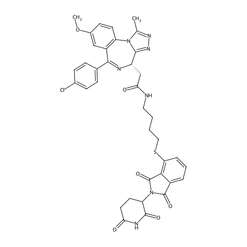 COc1ccc2c(c1)C(c1ccc(Cl)cc1)=N[C@@H](CC(=O)NCCCCSc1cccc3c1C(=O)N(C1CCC(=O)NC1=O)C3=O)c1nnc(C)n1-2